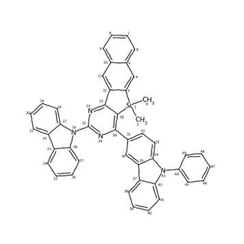 C[Si]1(C)c2cc3ccccc3cc2-c2nc(-n3c4ccccc4c4ccccc43)nc(-c3ccc4c(c3)c3ccccc3n4-c3ccccc3)c21